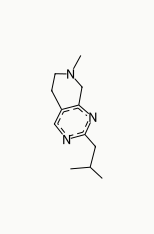 CC(C)Cc1ncc2c(n1)CN(C)CC2